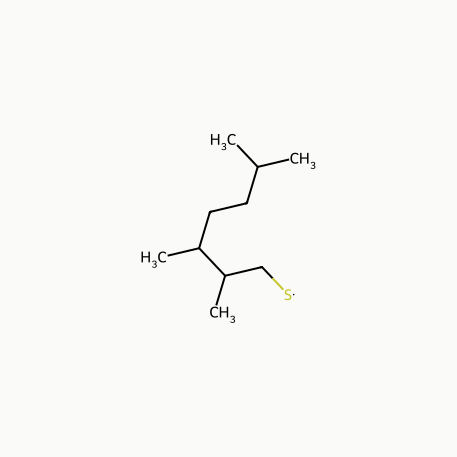 CC(C)CCC(C)C(C)C[S]